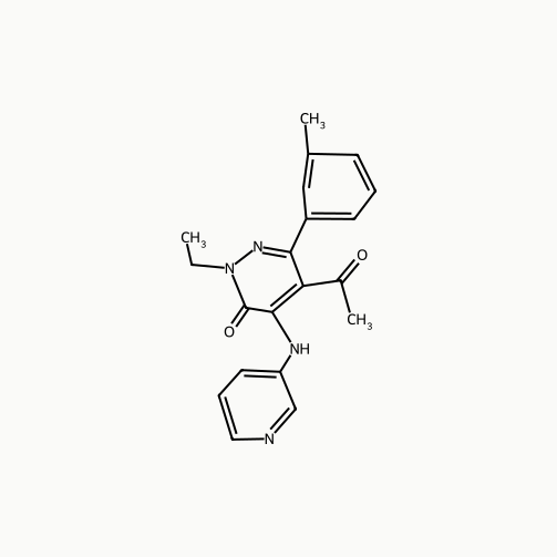 CCn1nc(-c2cccc(C)c2)c(C(C)=O)c(Nc2cccnc2)c1=O